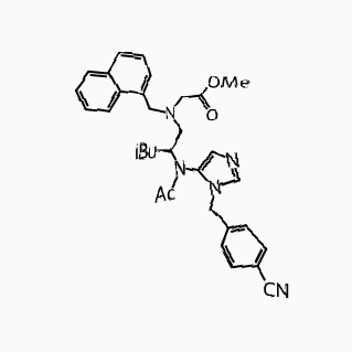 CC[C@H](C)[C@@H](CN(CC(=O)OC)Cc1cccc2ccccc12)N(C(C)=O)c1cncn1Cc1ccc(C#N)cc1